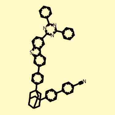 N#Cc1ccc(-c2ccc(C34CC5CC(C3)CC(c3ccc(-c6ccc7c(c6)sc6ccc(-c8nc(-c9ccccc9)nc(-c9ccccc9)n8)cc67)cc3)(C5)C4)cc2)cc1